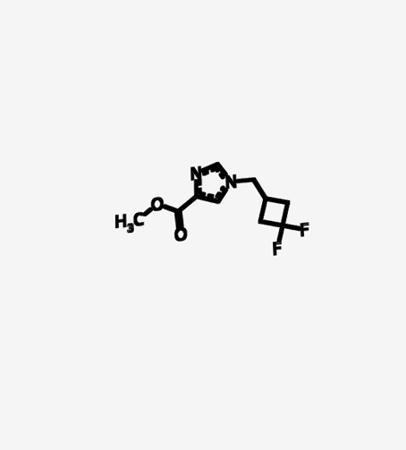 COC(=O)c1cn(CC2CC(F)(F)C2)cn1